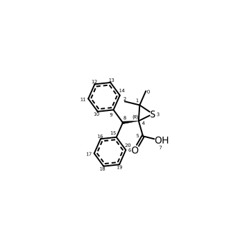 CC1(C)S[C@@]1(C(=O)O)C(c1ccccc1)c1ccccc1